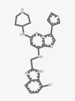 Clc1cccc2nc(CNc3cc(NC4CCNCC4)nn4c(-c5ccsc5)cnc34)[nH]c12